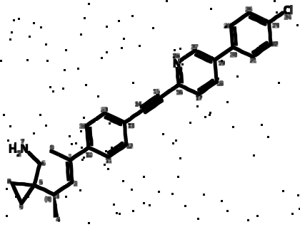 CC(=C[C@@H](C)C1(CN)CC1)c1ccc(C#Cc2ccc(-c3ccc(Cl)cc3)cn2)cc1